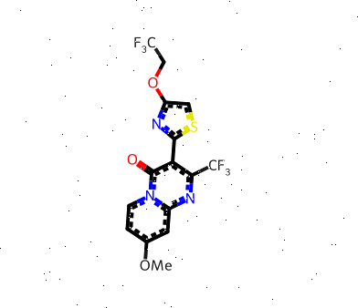 COc1ccn2c(=O)c(-c3nc(OCC(F)(F)F)cs3)c(C(F)(F)F)nc2c1